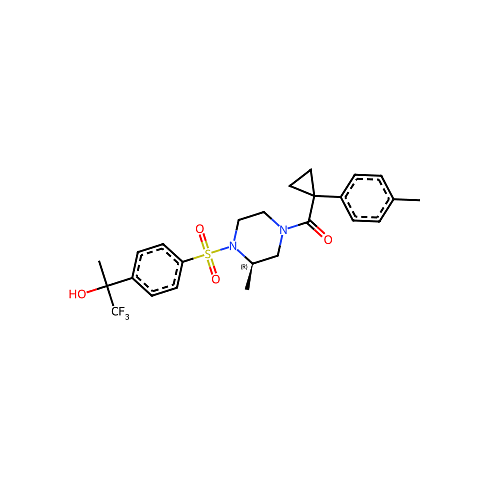 Cc1ccc(C2(C(=O)N3CCN(S(=O)(=O)c4ccc(C(C)(O)C(F)(F)F)cc4)[C@H](C)C3)CC2)cc1